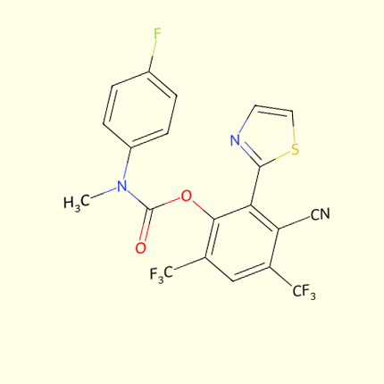 CN(C(=O)Oc1c(C(F)(F)F)cc(C(F)(F)F)c(C#N)c1-c1nccs1)c1ccc(F)cc1